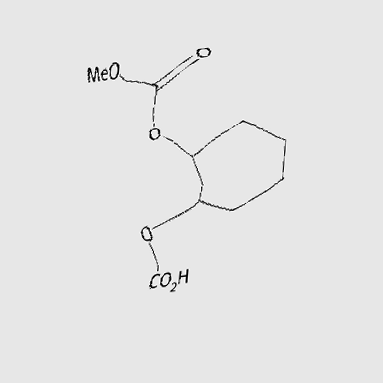 COC(=O)OC1CCCCC1OC(=O)O